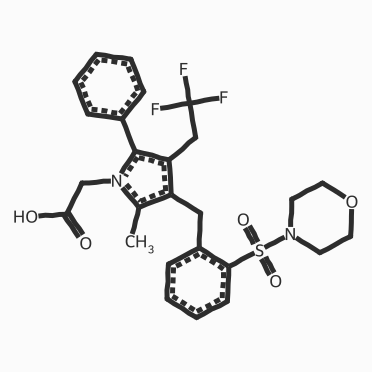 Cc1c(Cc2ccccc2S(=O)(=O)N2CCOCC2)c(CC(F)(F)F)c(-c2ccccc2)n1CC(=O)O